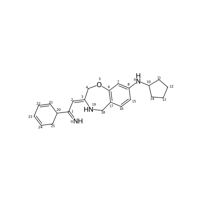 N=C(/C=C1/COc2cc(NC3CCCC3)ccc2CN1)C1C=CC=CC1